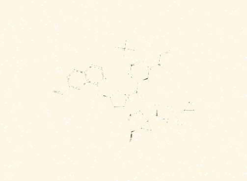 C=CC(=O)NC[C@H](NC(=O)OC(C)(C)C)C(=O)N1C[C@H](Oc2nccc3ccc(C=C)cc23)C[C@H]1C(=O)N[C@]1(C(=O)NS(=O)(=O)C2CC2)C[C@H]1C=C